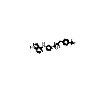 FC(F)(F)c1ccc(Cc2noc([C@H]3CC[C@H](Nc4ncnc5[nH]ncc45)C3)n2)cc1